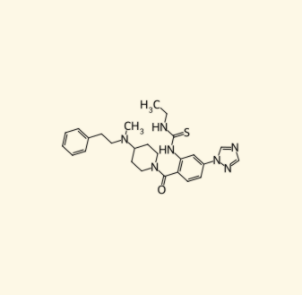 CCNC(=S)Nc1cc(-n2cncn2)ccc1C(=O)N1CCC(N(C)CCc2ccccc2)CC1